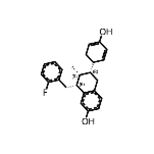 C[C@H]1[C@@H](Cc2ccccc2F)c2cc(O)ccc2C[C@H]1C1C=CC(O)=CC1